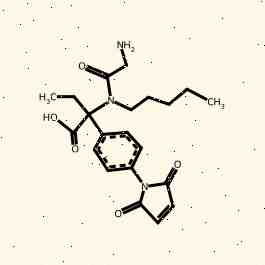 CCCCCN(C(=O)CN)C(CC)(C(=O)O)c1ccc(N2C(=O)C=CC2=O)cc1